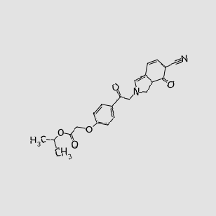 CC(C)OC(=O)COc1ccc(C(=O)CN2C=C3C=CC(C#N)C(=O)C3C2)cc1